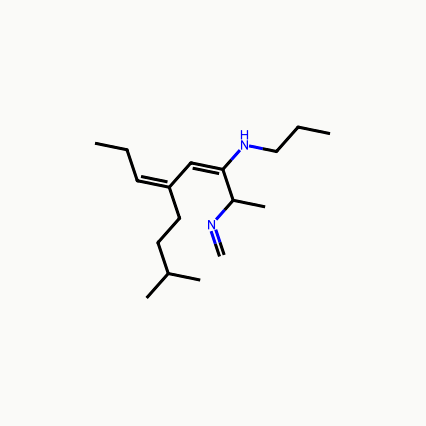 C=NC(C)/C(=C\C(=C/CC)CCC(C)C)NCCC